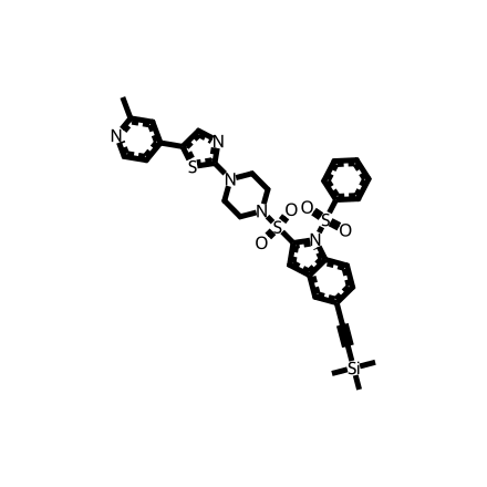 Cc1cc(-c2cnc(N3CCN(S(=O)(=O)c4cc5cc(C#C[Si](C)(C)C)ccc5n4S(=O)(=O)c4ccccc4)CC3)s2)ccn1